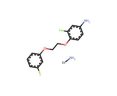 CCN.Nc1ccc(OCCOc2cccc(F)c2)c(F)c1